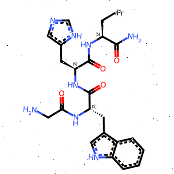 CC(C)C[C@H](NC(=O)[C@H](Cc1cnc[nH]1)NC(=O)[C@H](Cc1c[nH]c2ccccc12)NC(=O)CN)C(N)=O